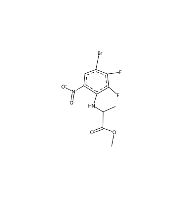 COC(=O)C(C)Nc1c([N+](=O)[O-])cc(Br)c(F)c1F